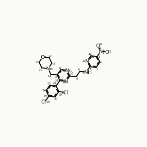 O=[N+]([O-])c1ccc(NC[CH]c2ncc(CN3CCOCC3)c(-c3ccc(Cl)cc3Cl)n2)nc1